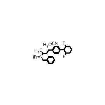 CC#N.CC(C)N(Cc1ccccc1)C(C)CCc1ccc(C2C(F)CCCC2F)cc1